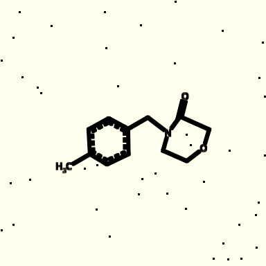 Cc1ccc(CN2CCOCC2=O)cc1